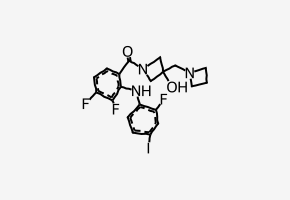 O=C(c1ccc(F)c(F)c1Nc1ccc(I)cc1F)N1CC(O)(CN2CCC2)C1